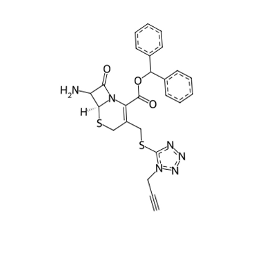 C#CCn1nnnc1SCC1=C(C(=O)OC(c2ccccc2)c2ccccc2)N2C(=O)C(N)[C@@H]2SC1